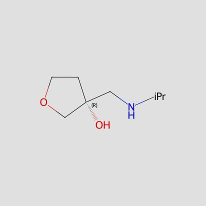 CC(C)NC[C@]1(O)CCOC1